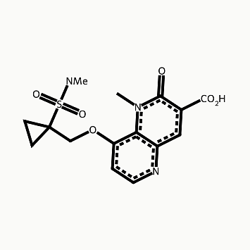 CNS(=O)(=O)C1(COc2ccnc3cc(C(=O)O)c(=O)n(C)c23)CC1